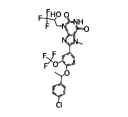 CC(Oc1ccc(-c2nc3c(c(=O)[nH]c(=O)n3CC(O)C(F)(F)F)n2C)cc1OC(F)(F)F)c1ccc(Cl)cc1